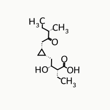 CC[C@H](C)C(=O)C[C@H]1C[C@H]1C[C@@H](O)[C@@H](CC)C(=O)O